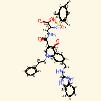 Cc1cc(C)c(S(=O)(=O)NC(CNC(=O)c2cn(CCc3ccccc3)c3cc(CNc4nc5ccccc5[nH]4)ccc3c2=O)C(=O)O)c(C)c1